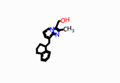 Cc1nc2c(CC3CCCc4ccccc43)cccn2c1CO